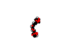 c1ccc(N(c2ccc3c(c2)oc2cc4oc5cc6oc7cc(N(c8ccccc8)c8cccc9oc%10ccccc%10c89)ccc7c6cc5c4cc23)c2cccc3oc4ccccc4c23)cc1